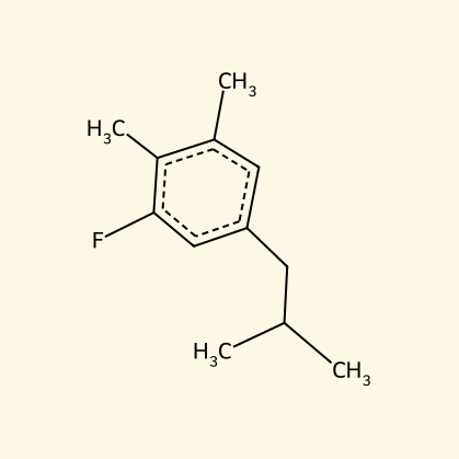 Cc1cc(CC(C)C)cc(F)c1C